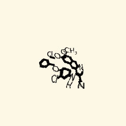 COc1cc2cc3ncc(C#N)c(Nc4ccc(OCc5ccccc5)c(Cl)c4)c3cc2cc1OCCCl